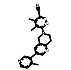 Cc1ccncc1-c1cnc2c(c1)CN(c1nnc(C#N)c(C)c1C)CC2